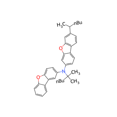 CCCCC(C)c1ccc2c(c1)oc1cc(N(c3ccc4oc5ccccc5c4c3)C(C)(C)CCCC)ccc12